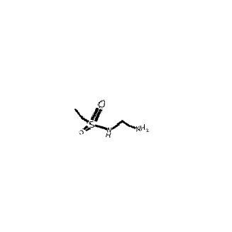 CS(=O)(=O)NCN